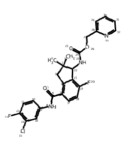 CC1(C)Cc2c(C(=O)Nc3ccc(F)c(Cl)c3)ccc(F)c2C1NC(=O)OCc1ccccn1